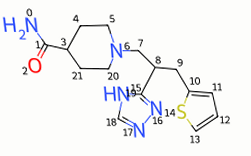 NC(=O)C1CCN(CC(Cc2cccs2)c2nnc[nH]2)CC1